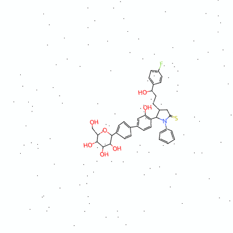 OCC1OC(c2ccc(-c3ccc(C4C(CCC(O)c5ccc(F)cc5)CC(=S)N4c4ccccc4)c(O)c3)cc2)C(O)C(O)C1O